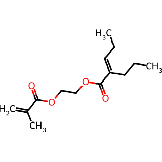 C=C(C)C(=O)OCCOC(=O)C(=CCC)CCC